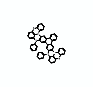 c1ccc(N2c3cc4c(cc3B3c5ccccc5Sc5cccc2c53)c2ccccc2c2cc3c(cc24)N(c2ccccc2)c2cccc4c2B3c2ccccc2S4)cc1